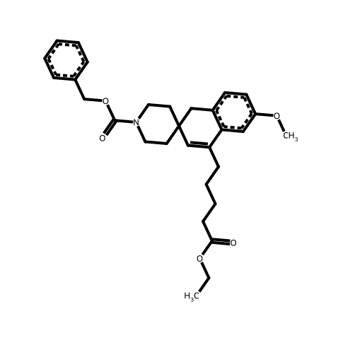 CCOC(=O)CCCCC1=CC2(CCN(C(=O)OCc3ccccc3)CC2)Cc2ccc(OC)cc21